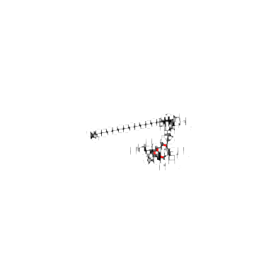 CCC1=C(C)c2cc3[nH]c(cc4nc(c5c6[nH]c(cc1n2)c(C)c6C(=O)N(CCN1CCOCC1)C5=O)[C@@H](CCC(=O)OCCO)[C@@H]4C)c(C)c3/C=C/C(=O)OCCOCCNC(=O)[C@H](C)NC(=O)[C@H](C)NC(=O)CCOCCOCCOCCOCCOCCOCCOCCOCCOCCOCCOCCOCCN1C(=O)C=CC1=O